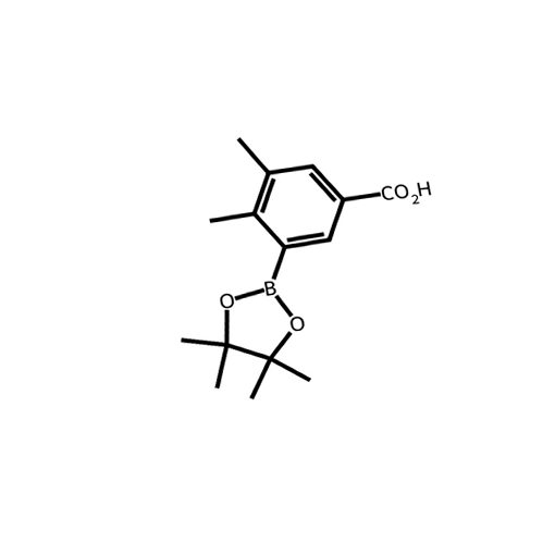 Cc1cc(C(=O)O)cc(B2OC(C)(C)C(C)(C)O2)c1C